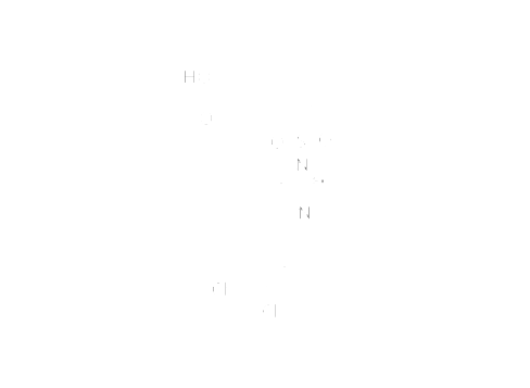 C[C@@H]1CN(Cc2ccc(Cl)c(Cl)c2)C[C@H](C)N1S(=O)(=O)c1cccc2c1CC(C(=O)O)C2